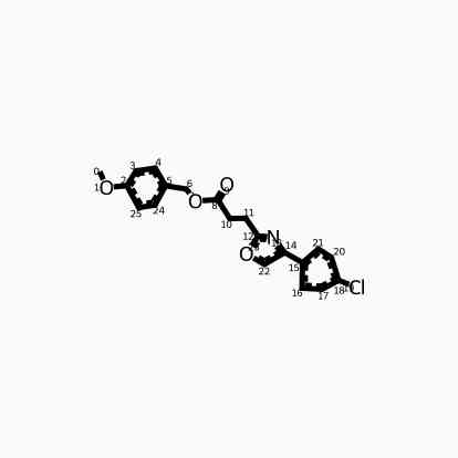 COc1ccc(COC(=O)CCc2nc(-c3ccc(Cl)cc3)co2)cc1